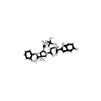 C#C[C@@H]1C[C@](C)(C(=O)Nc2ccccc2C)CN1C(=O)[C@H](CC(C)(C)F)NC(=O)c1cc2cc(Cl)ccc2[nH]1